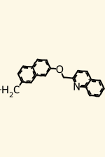 [CH2]c1ccc2ccc(OCc3ccc4ccccc4n3)cc2c1